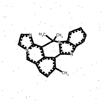 Cc1ccc2cn3ccnc3c3c2c1-c1nc2ccccc2n1C3(C)C